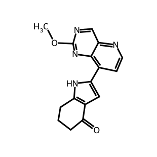 COc1ncc2nccc(-c3cc4c([nH]3)CCCC4=O)c2n1